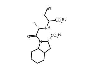 CCOC(=O)C(CC(C)C)N[C@@H](C)C(=O)N1C2CCCCC2C[C@H]1C(=O)O